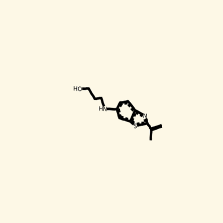 C=C(C)c1nc2ccc(NCCCO)cc2s1